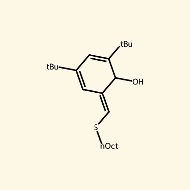 CCCCCCCCSC=C1C=C(C(C)(C)C)C=C(C(C)(C)C)C1O